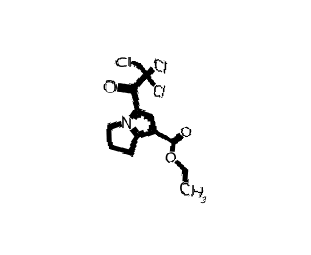 CCOC(=O)c1cc(C(=O)C(Cl)(Cl)Cl)n2c1CCC2